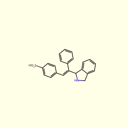 O=S(=O)(O)c1ccc(C=C(c2ccccc2)C2NCc3ccccc32)cc1